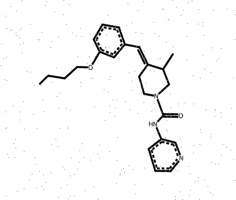 CCCCOc1cccc(C=C2CCN(C(=O)Nc3cccnc3)CC2C)c1